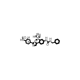 CC(C)(C)NS(=O)(=O)c1cc(NC(=O)NCc2ccccc2)ccc1-c1cnc(C23CCC(NC(=O)O)(CC2)CC3)s1